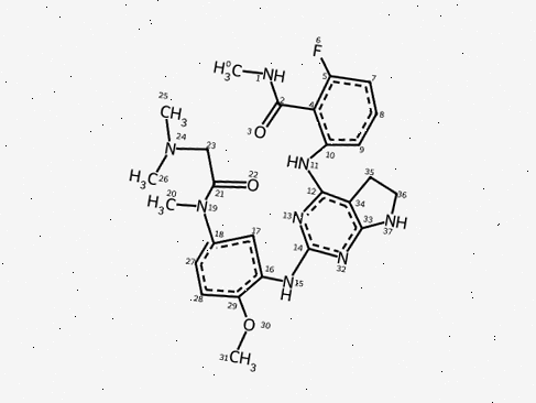 CNC(=O)c1c(F)cccc1Nc1nc(Nc2cc(N(C)C(=O)CN(C)C)ccc2OC)nc2c1CCN2